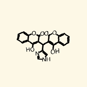 O=c1oc2ccccc2c(O)c1C(c1c[nH]cn1)c1c(O)c2ccccc2oc1=O